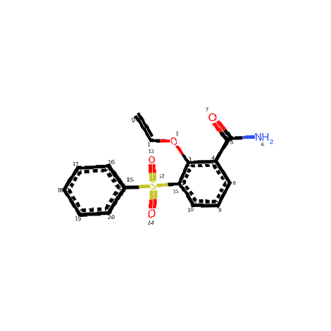 C=COc1c(C(N)=O)cccc1S(=O)(=O)c1ccccc1